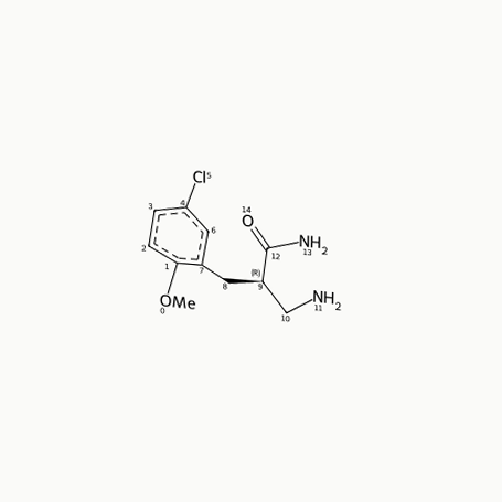 COc1ccc(Cl)cc1C[C@H](CN)C(N)=O